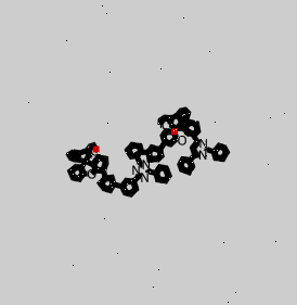 c1ccc(-c2cc(-c3cccc4c3Oc3cc(-c5cccc(-c6ccccc6-c6nc(-c7ccccc7)nc(-c7cccc(-c8cccc(-c9cccc%10c9Oc9ccccc9C%109c%10ccccc%10-c%10ccccc%109)c8)c7)n6)c5)ccc3C43c4ccccc4-c4ccccc43)nc(-c3ccccc3)n2)cc1